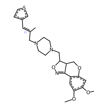 COc1cc2c(cc1OC)C1=NOC(CN3CCN(C/C(C)=C/c4ccsc4)CC3)C1CO2